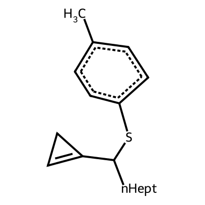 CCCCCCCC(Sc1ccc(C)cc1)C1=CC1